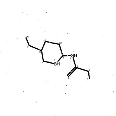 C=C(CC)NC1BCC(CC)CC1